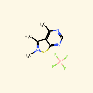 Cc1ncnc2s[n+](C)c(C)c12.F[B-](F)(F)F